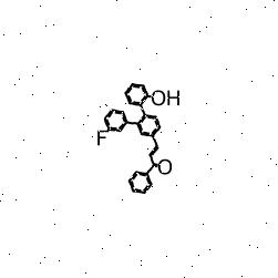 O=C(C=Cc1ccc(-c2ccccc2O)c(-c2cccc(F)c2)c1)c1ccccc1